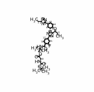 CCc1nc(-c2ccc(OC(CC)c3nc(-c4ccc(C(=O)NC(C)(C)COC(=O)CNC(=O)OC(C)(C)C)c(F)c4)no3)cc2)no1